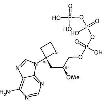 CO[C@H](COP(=O)(O)OP(=O)(O)OP(=O)(O)O)C[C@@]1(n2cnc3c(N)ncnc32)CCS1